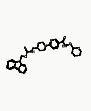 O=C(NCC1CCN(c2ccc(C(=O)NOC3CCCCO3)cn2)CC1)OCC1c2ccccc2-c2ccccc21